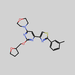 Cc1cccc(-c2nc(-c3cc(N4CCOCC4)nc(OCC4CCCO4)n3)cs2)c1